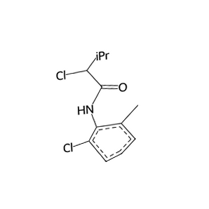 Cc1cccc(Cl)c1NC(=O)C(Cl)C(C)C